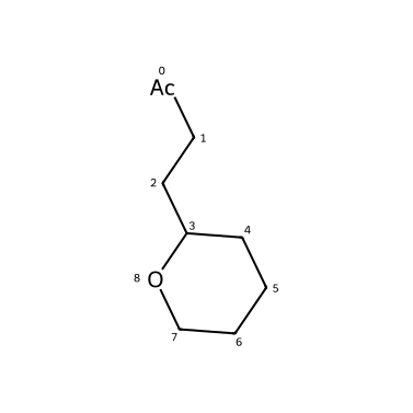 CC(=O)CCC1CCCCO1